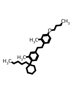 CCCCCC1(c2ccc(CCc3ccc(OCCCC)cc3C)cc2C)CCCCC1